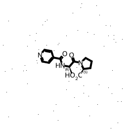 C[C@@H](NC(=O)c1ccncc1)C(=O)N1CCC[C@H]1C(=O)O